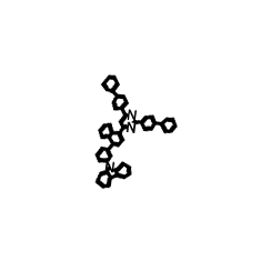 c1ccc(-c2ccc(-c3cc(-c4ccc(-c5cccc(-n6c7ccccc7c7ccccc76)c5)c5ccccc45)nc(-c4ccc(-c5ccccc5)cc4)n3)cc2)cc1